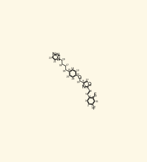 Fc1ccc(C=Cc2nc(COc3ccc(CCCCn4ccnn4)cc3)co2)c(F)c1